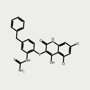 NC(=S)Nc1cc(Cc2ccccc2)ccc1Sc1c(O)c2c(Cl)cc(Cl)cc2[nH]c1=O